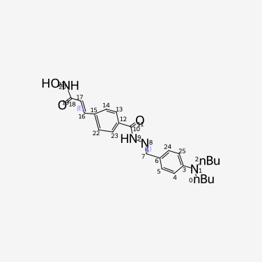 CCCCN(CCCC)c1ccc(/C=N/NC(=O)c2ccc(/C=C/C(=O)NO)cc2)cc1